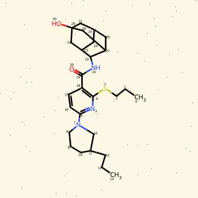 CCCSc1nc(N2CCCC(CCC)C2)ccc1C(=O)NC1C2CC3CC1CC(O)(C3)C2